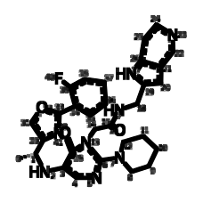 C[C@@H](Nc1cnc(N2CCCCC2)n(CC(=O)NCc2cc3cnccc3[nH]2)c1=O)c1coc(-c2ccccc2F)n1